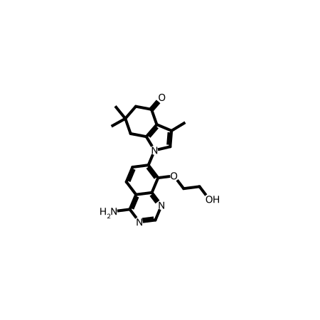 Cc1cn(-c2ccc3c(N)ncnc3c2OCCO)c2c1C(=O)CC(C)(C)C2